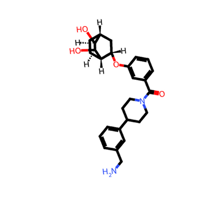 NCc1cccc(C2CCN(C(=O)c3cccc(O[C@H]4C[C@H]5CC[C@@H]4[C@@H](O)[C@H]5O)c3)CC2)c1